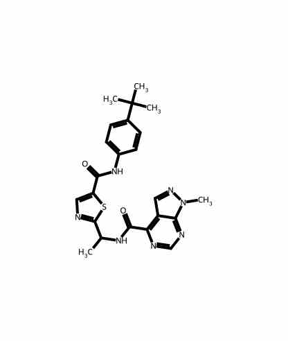 CC(NC(=O)c1ncnc2c1cnn2C)c1ncc(C(=O)Nc2ccc(C(C)(C)C)cc2)s1